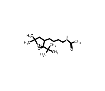 CC(=O)NCCCCC(CC(C)(C)C)C(=O)C(C)(C)C